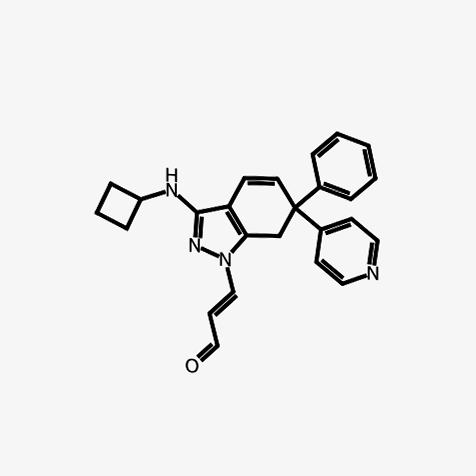 O=CC=Cn1nc(NC2CCC2)c2c1CC(c1ccccc1)(c1ccncc1)C=C2